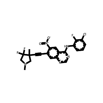 CN1CC(F)(F)C(C)(C#Cc2cc3ncnc(Nc4cccc(Cl)c4F)c3cc2[N+](=O)[O-])C1